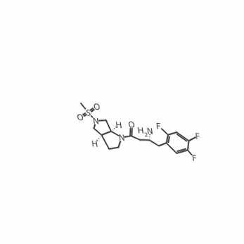 CS(=O)(=O)N1C[C@@H]2CCN(C(=O)C[C@H](N)Cc3cc(F)c(F)cc3F)[C@@H]2C1